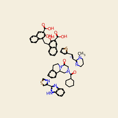 CN1CCCN=C1/C=C/c1cccs1.O=C(C1CCCCC1)N1CC(=O)N2CCc3ccccc3C2C1.O=C(O)c1cc2ccccc2c(Cc2c(O)c(C(=O)O)cc3ccccc23)c1O.c1ccc2[nH]c(-c3cscn3)nc2c1